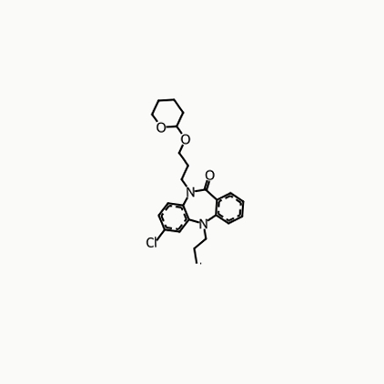 [CH2]CCN1c2ccccc2C(=O)N(CCCOC2CCCCO2)c2ccc(Cl)cc21